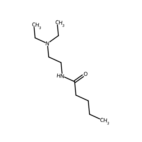 CCCCC(=O)NCCN(CC)CC